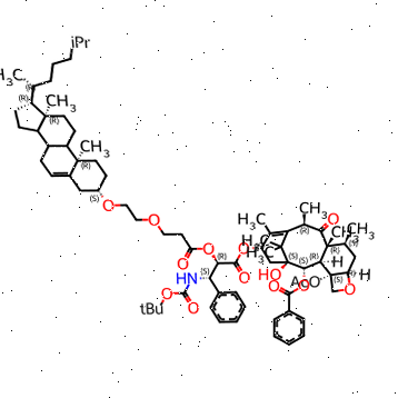 CC(=O)O[C@@]12CO[C@@H]1C[C@H](C)[C@@]1(C)C(=O)[C@H](C)C3=C(C)[C@@H](OC(=O)[C@H](OC(=O)CCOCCO[C@H]4CC[C@@]5(C)C(=CCC6C5CC[C@@]5(C)C6CC[C@@H]5[C@H](C)CCCC(C)C)C4)[C@@H](NC(=O)OC(C)(C)C)c4ccccc4)C[C@@](O)([C@@H](OC(=O)c4ccccc4)[C@H]21)C3(C)C